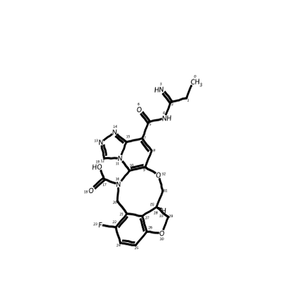 CCC(=N)NC(=O)c1cc2c(n3cnnc13)N(C(=O)O)Cc1c(F)ccc3c1[C@@H](CO3)CO2